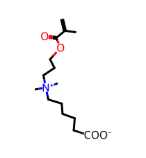 C=C(C)C(=O)OCCC[N+](C)(C)CCCCCC(=O)[O-]